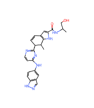 CC(CO)NC(=O)c1cc2c([nH]1)C(C)C(c1nccc(Nc3ccc4[nH]ncc4c3)n1)C=C2